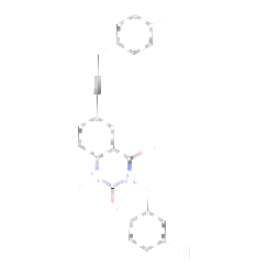 Cn1c(=O)n(Cc2cccc(Cl)c2)c(=O)c2cc(C#CCc3ccc(Cl)cc3)ccc21